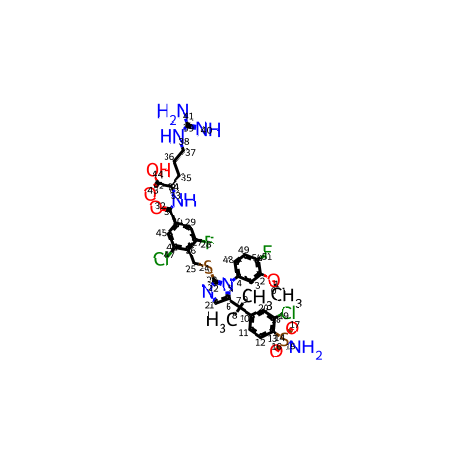 COc1cc(-n2c(C(C)(C)c3ccc(S(N)(=O)=O)c(Cl)c3)cnc2SCc2c(F)cc(C(=O)N[C@H](CCCNC(=N)N)C(=O)O)cc2Cl)ccc1F